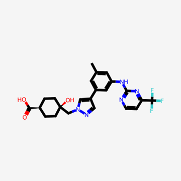 Cc1cc(Nc2nccc(C(F)(F)F)n2)cc(-c2cnn(C[C@]3(O)CC[C@@H](C(=O)O)CC3)c2)c1